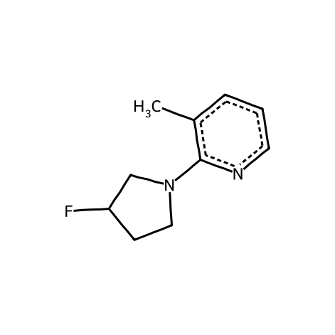 Cc1cccnc1N1CCC(F)C1